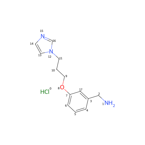 Cl.NCc1cccc(OCCCn2ccnc2)c1